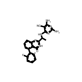 CC(Nc1nc(N)nc(N)c1C#N)c1nc2cccc(-c3c(F)cccc3F)c2c(=O)[nH]1